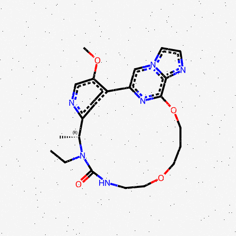 CCN1C(=O)NCCOCCCOc2nc(cn3ccnc23)-c2cc(ncc2OC)[C@H]1C